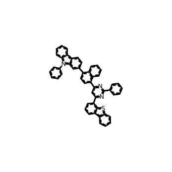 c1ccc(-c2nc(-c3ccc(-c4ccc5c6ccccc6n(-c6ccccc6)c5c4)c4ccccc34)cc(-c3cccc4c3sc3ccccc34)n2)cc1